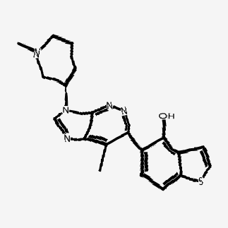 Cc1c(-c2ccc3sccc3c2O)nnc2c1ncn2[C@@H]1CCCN(C)C1